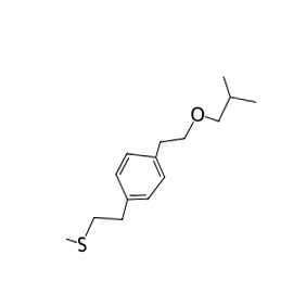 CSCCc1ccc(CCOCC(C)C)cc1